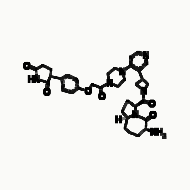 N[C@H]1CCC[C@H]2CC[C@@H](C(=O)N3CC(c4cnccc4N4CCN(C(=O)COc5ccc(C6CCC(=O)NC6=O)cc5)CC4)C3)N2C1=O